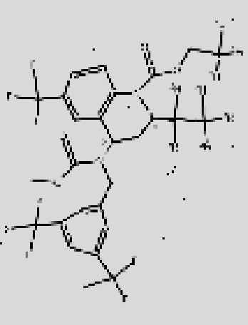 [2H]C([2H])([2H])COC(=O)N1c2ccc(C(F)(F)F)cc2[C@@H](N(Cc2cc(C(F)(F)F)cc(C(F)(F)F)c2)C(=O)OC)C[C@@H]1C([2H])([2H])C([2H])([2H])[2H]